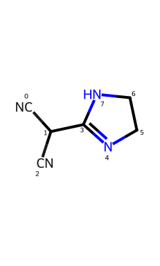 N#CC(C#N)C1=NCCN1